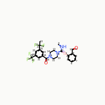 CN/C(=B\c1ccccc1C=O)N1CCN(C(=O)c2cc(C(C)(F)F)cc(C(F)(F)F)c2)CC1